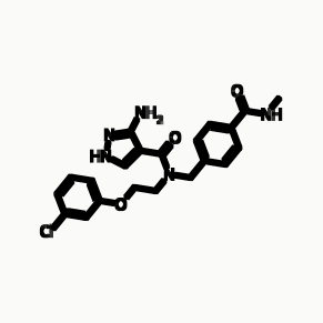 CNC(=O)c1ccc(CN(CCOc2cccc(Cl)c2)C(=O)c2c[nH]nc2N)cc1